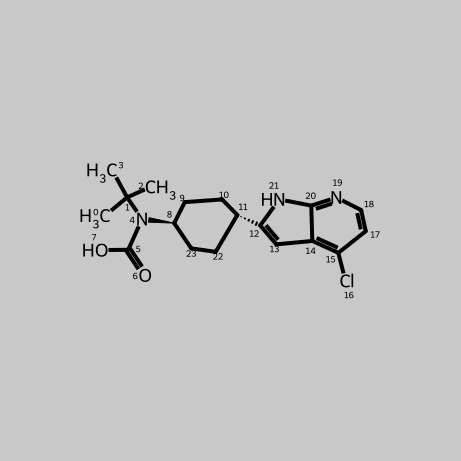 CC(C)(C)N(C(=O)O)[C@H]1CC[C@H](c2cc3c(Cl)ccnc3[nH]2)CC1